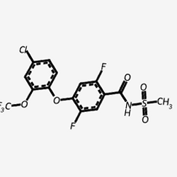 CS(=O)(=O)NC(=O)c1cc(F)c(Oc2ccc(Cl)cc2OC(F)(F)F)cc1F